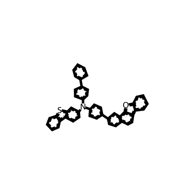 c1ccc(-c2ccc(N(c3ccc(-c4ccc5ccc6c7ccccc7oc6c5c4)cc3)c3ccc4c(c3)sc3ccccc34)cc2)cc1